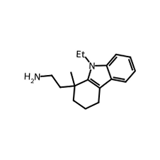 CCn1c2c(c3ccccc31)CCCC2(C)CCN